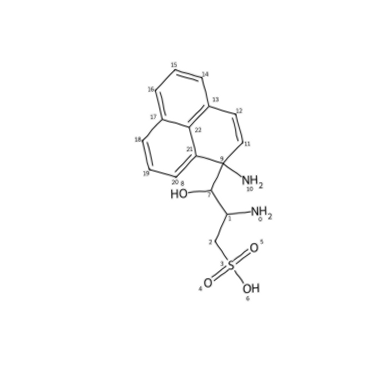 NC(CS(=O)(=O)O)C(O)C1(N)C=Cc2cccc3cccc1c23